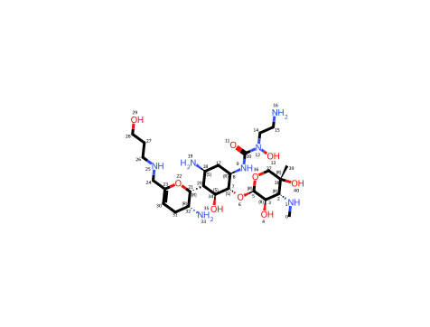 CN[C@@H]1[C@@H](O)[C@@H](O[C@H]2[C@H](NC(=O)N(O)CCN)C[C@H](N)C([C@H]3OC(CNCCCO)=CC[C@H]3N)[C@@H]2O)OC[C@]1(C)O